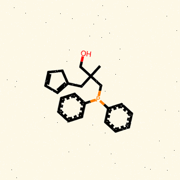 CC(CO)(CC1=CC=CC1)CP(c1ccccc1)c1ccccc1